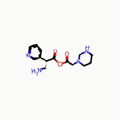 NC[C@@H](C(=O)OC(=O)CN1CCCNC1)c1cccnc1